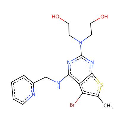 Cc1sc2nc(N(CCO)CCO)nc(NCc3ccccn3)c2c1Br